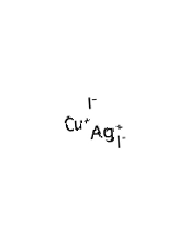 [Ag+].[Cu+].[I-].[I-]